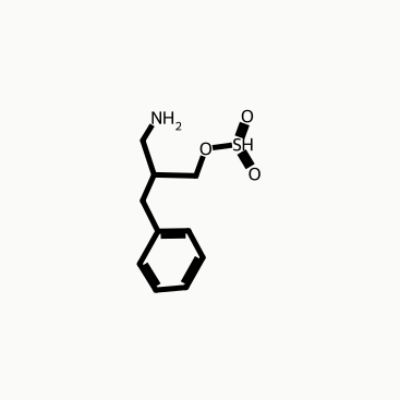 NCC(CO[SH](=O)=O)Cc1ccccc1